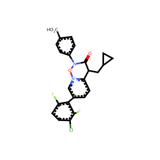 O=C(O)c1ccc(N2O[n+]3cc(-c4c(F)ccc(Cl)c4F)ccc3C(CC3CC3)C2=O)cc1